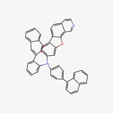 c1ccc(N(c2ccc(-c3cccc4ccccc34)cc2)c2ccc3c(c2)oc2c4cnccc4ccc32)c(-c2ccc3ccccc3c2)c1